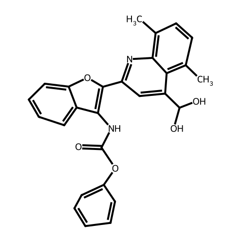 Cc1ccc(C)c2c(C(O)O)cc(-c3oc4ccccc4c3NC(=O)Oc3ccccc3)nc12